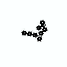 c1ccc(-c2ccc(-c3ccc(N(c4ccccc4)c4ccc(-c5cccc(-c6oc7ccccc7c6-c6ccccc6)c5)cc4)cc3)cc2)cc1